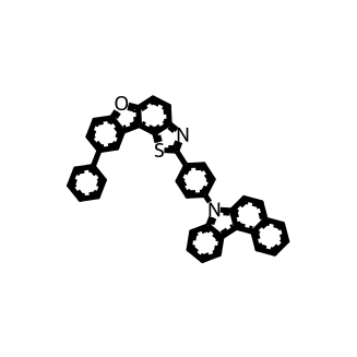 c1ccc(-c2ccc3oc4ccc5nc(-c6ccc(-n7c8ccccc8c8c9ccccc9ccc87)cc6)sc5c4c3c2)cc1